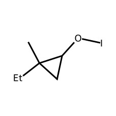 CCC1(C)CC1OI